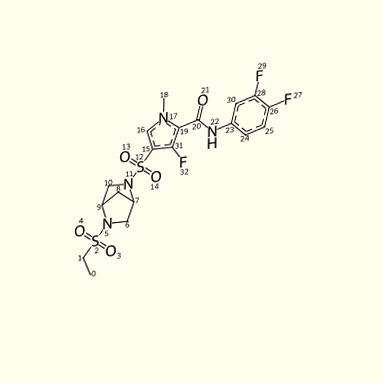 CCS(=O)(=O)N1CC2CC1CN2S(=O)(=O)c1cn(C)c(C(=O)Nc2ccc(F)c(F)c2)c1F